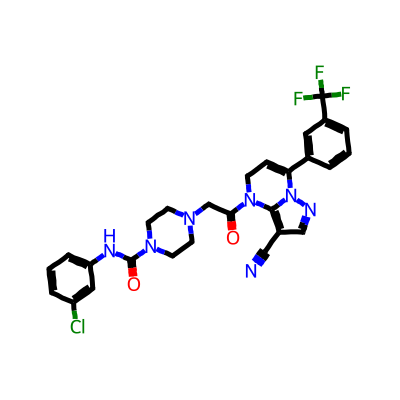 N#Cc1cnn2c1N(C(=O)CN1CCN(C(=O)Nc3cccc(Cl)c3)CC1)CC=C2c1cccc(C(F)(F)F)c1